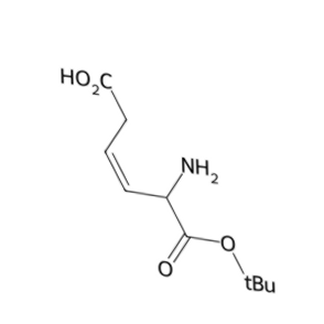 CC(C)(C)OC(=O)C(N)/C=C\CC(=O)O